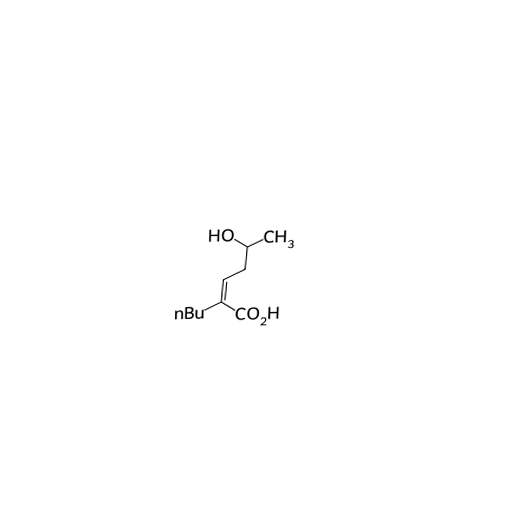 CCCC/C(=C/CC(C)O)C(=O)O